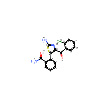 NC(=O)c1ccccc1-c1sc(N)nc1C(=O)c1ccccc1Cl